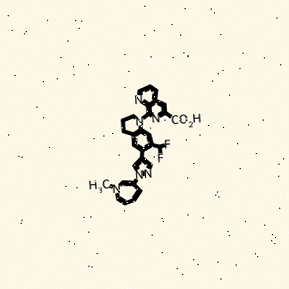 CN1C=CC=CC(n2cc(-c3cc4c(cc3C(F)F)N(c3nc(C(=O)O)cc5cccnc35)CCC4)cn2)=C1